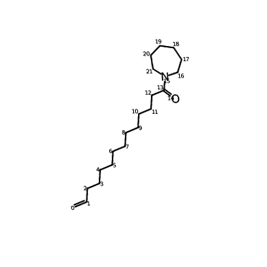 C=CCCCCCCCCCCCC(=O)N1CCCCCC1